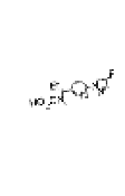 CCC(c1ccc(-n2cc(F)cn2)nc1)N(C)C(=O)O